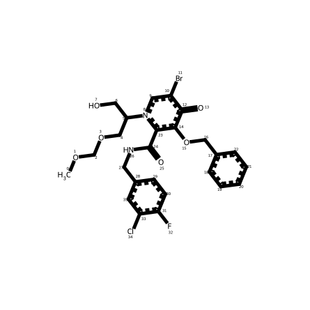 COCOCC(CO)n1cc(Br)c(=O)c(OCc2ccccc2)c1C(=O)NCc1ccc(F)c(Cl)c1